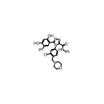 CC(C)NC(=O)c1nnc(-c2cc(C(C)C)c(O)cc2O)n1-c1ccc(CN2CCOCC2)c(Cl)c1